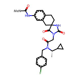 CNC(=O)Nc1ccc2c(c1)CC1(CC2)NC(=O)N(CC(=O)N(Cc2ccc(F)cc2)[C@@H](C)C2CC2)C1=O